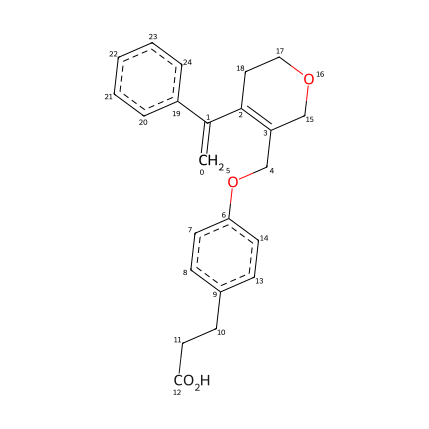 C=C(C1=C(COc2ccc(CCC(=O)O)cc2)COCC1)c1ccccc1